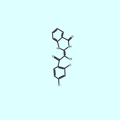 N#C/C(C(=O)c1ccc(Cl)cc1Cl)=C1\NC(=O)c2ccccc2N1